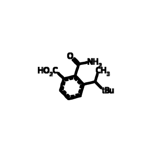 CC(c1cccc(C(=O)O)c1C(N)=O)C(C)(C)C